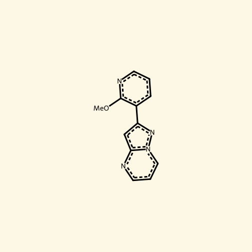 COc1ncccc1-c1cc2ncccn2n1